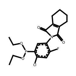 CCOP(OCC)c1cc(N2C(=O)C3=C(CCCC3)C2=O)c(F)cc1Cl